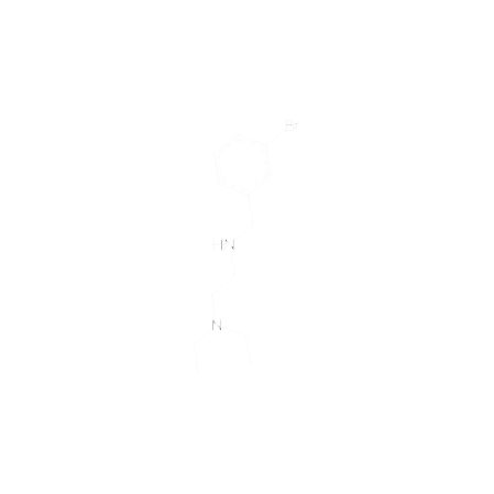 CCN(CC)CCNCc1cccc(Br)c1